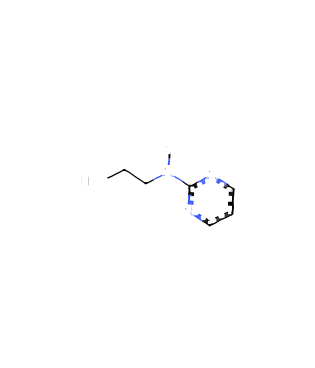 CCCN(C)c1ncccn1